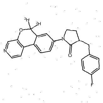 [2H]C1([2H])Oc2cnccc2-c2ccc(N3CCC(Cc4ccc(F)cc4)C3=O)cc21